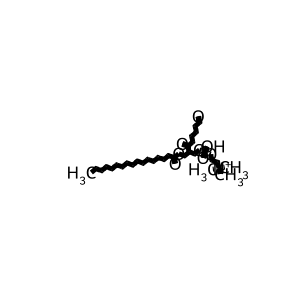 CCCCCCCCCCCCCCCCC(=O)OCC(COP(=O)(O)OCC[N+](C)(C)C)C(=O)CCCCC=O